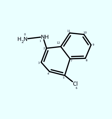 NNc1ccc(Cl)c2ccccc12